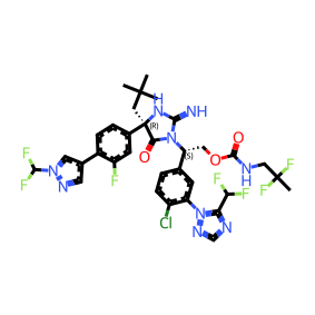 CC(C)(C)C[C@]1(c2ccc(-c3cnn(C(F)F)c3)c(F)c2)NC(=N)N([C@H](COC(=O)NCC(C)(F)F)c2ccc(Cl)c(-n3ncnc3C(F)F)c2)C1=O